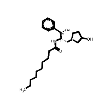 CCCCCCCCCC(=O)N[C@@H](CN1CCC(O)C1)[C@@H](O)c1ccccc1